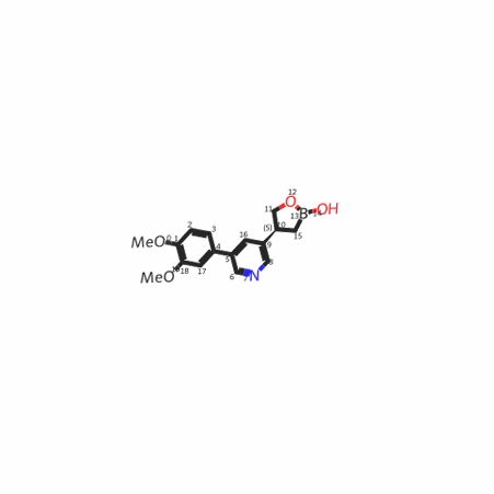 COc1ccc(-c2cncc([C@H]3COB(O)C3)c2)cc1OC